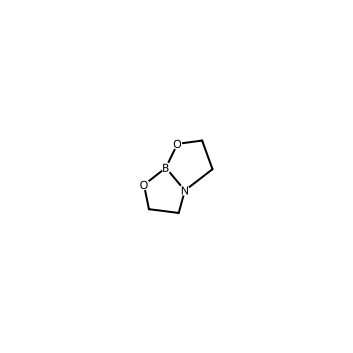 C1CN2CCOB2O1